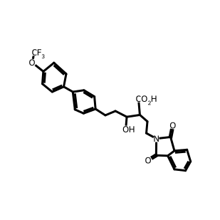 O=C(O)C(CCN1C(=O)c2ccccc2C1=O)C(O)CCc1ccc(-c2ccc(OC(F)(F)F)cc2)cc1